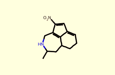 CC1CC2CCC=C3C=C([N+](=O)[O-])C(=C32)CN1